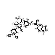 N#Cc1ccc(N2C(=O)C3(CCCCC3)N(c3ccc(CNC(=O)c4ccc5[nH]ncc5c4)c(F)c3)C2=S)cc1Cl